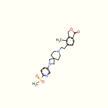 Cc1c(CCN2CCC3(CC2)CN(c2ccc(S(C)(=O)=O)nc2)C3)ccc2c1COC2=O